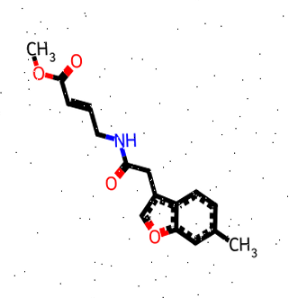 COC(=O)/C=C/CNC(=O)Cc1coc2cc(C)ccc12